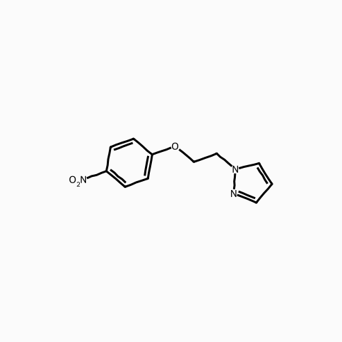 O=[N+]([O-])c1ccc(OCCn2cccn2)cc1